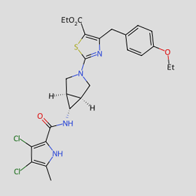 CCOC(=O)c1sc(N2C[C@@H]3[C@H](C2)[C@H]3NC(=O)c2[nH]c(C)c(Cl)c2Cl)nc1Cc1ccc(OCC)cc1